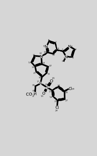 Cn1ccnc1-c1ccnc(-n2ccc3cc(N(CC(=O)O)S(=O)(=O)c4cc(Cl)cc(Cl)c4)ccc32)c1